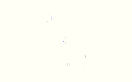 C[N+](C)(C)c1ccc(/N=N/c2ccc([N+](C)(C)C)cc2)cc1